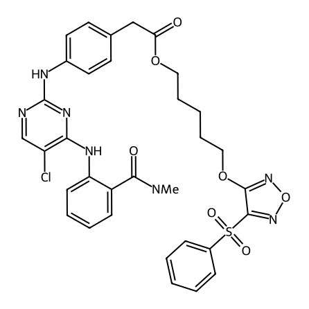 CNC(=O)c1ccccc1Nc1nc(Nc2ccc(CC(=O)OCCCCCOc3nonc3S(=O)(=O)c3ccccc3)cc2)ncc1Cl